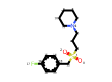 O=S(=O)(CCCN1CC[CH]CC1)Cc1ccc(F)cc1